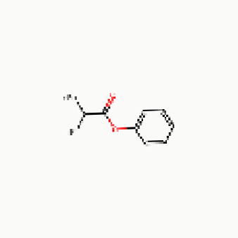 CCCCC(C(=O)Oc1ccccc1)C(C)C